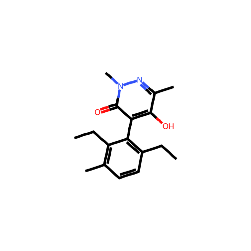 CCc1ccc(C)c(CC)c1-c1c(O)c(C)nn(C)c1=O